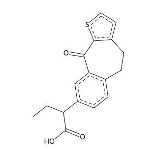 CCC(C(=O)O)c1ccc2c(c1)C(=O)c1sccc1CC2